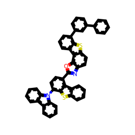 c1ccc(-c2cccc(-c3cccc4c3sc3ccc5nc(-c6ccc(-n7c8ccccc8c8ccccc87)c7sc8ccccc8c67)oc5c34)c2)cc1